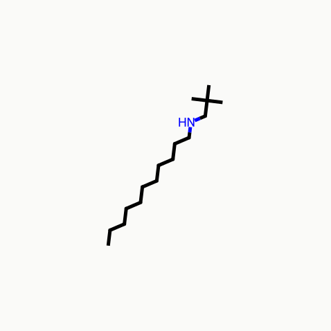 CCCCCCCCCCCNCC(C)(C)C